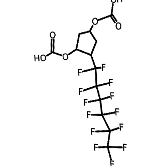 O=C(O)OC1CC(OC(=O)O)C(C(F)(F)C(F)(F)C(F)(F)C(F)(F)C(F)(F)C(F)(F)F)C1